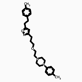 Cc1ccc(CCc2cc(CCCOCCN3CCN(c4ccc(C)cc4)CC3)no2)cc1